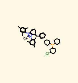 C1CCC(P(C2CCCCC2)C2CCCCC2)CC1.Cc1cc(C)c(-n2c3c(n(-c4c(C)cc(C)cc4C)[c]2=[Ru+2])C(=Cc2ccccc2)CC=C3)c(C)c1.[Cl-].[Cl-]